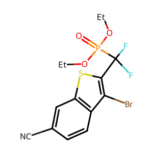 CCOP(=O)(OCC)C(F)(F)c1sc2cc(C#N)ccc2c1Br